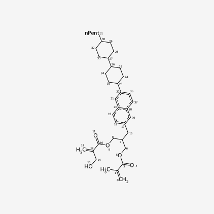 C=C(C)C(=O)OCC(COC(=O)C(=C)CO)Cc1ccc2cc(C3CCC(C4CCC(CCCCC)CC4)CC3)ccc2c1